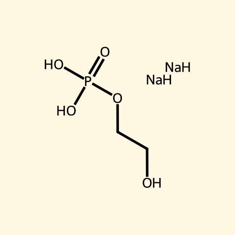 O=P(O)(O)OCCO.[NaH].[NaH]